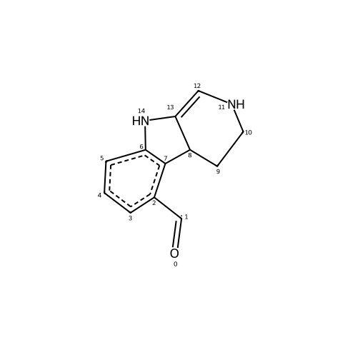 O=[C]c1cccc2c1C1CCNC=C1N2